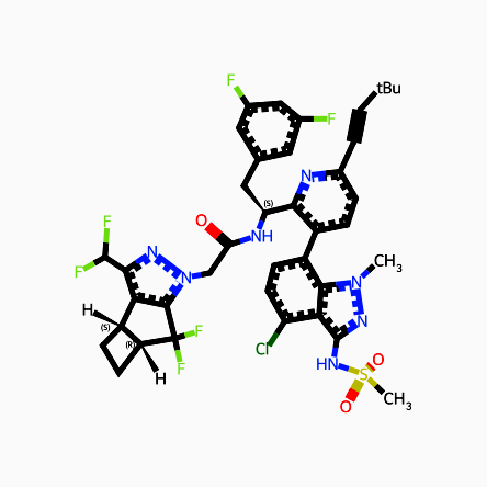 Cn1nc(NS(C)(=O)=O)c2c(Cl)ccc(-c3ccc(C#CC(C)(C)C)nc3[C@H](Cc3cc(F)cc(F)c3)NC(=O)Cn3nc(C(F)F)c4c3C(F)(F)[C@@H]3CC[C@H]43)c21